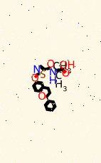 CC(C)(NC(=O)c1cnc(Oc2ccc3c(c2)CC[C@@H](c2ccccc2)O3)s1)C(=O)O